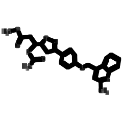 COC(=O)CC(SC(C)=O)C1CC(c2ccc(OCc3cc(C)nc4ccccc34)cc2)=NO1